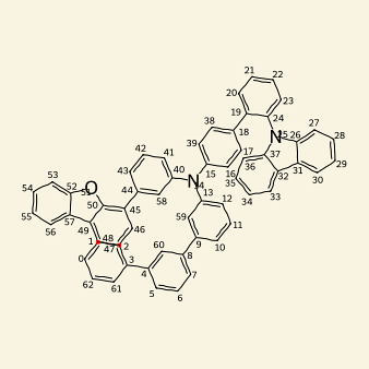 c1ccc(-c2cccc(-c3cccc(N(c4ccc(-c5ccccc5-n5c6ccccc6c6ccccc65)cc4)c4cccc(-c5cccc6c5oc5ccccc56)c4)c3)c2)cc1